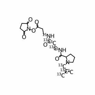 [13CH3][13CH]([13CH3])[13CH2]N1CCCC1C(=O)[15NH][13CH2][13CH2][13C](=O)[15NH]CCC(=O)ON1C(=O)CCC1=O